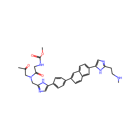 CNCCc1ncc(-c2ccc3cc(-c4ccc(-c5cnc(CN(CC(C)=O)C(=O)CNC(=O)OC)[nH]5)cc4)ccc3c2)[nH]1